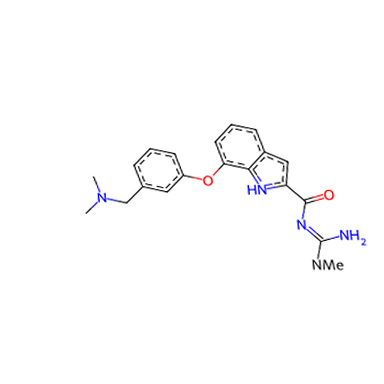 CNC(N)=NC(=O)c1cc2cccc(Oc3cccc(CN(C)C)c3)c2[nH]1